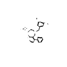 COc1cc(CN2CCCOc3nccc(-c4ccccc4)c3C2)cc(OC)c1.O=S(=O)(O)O